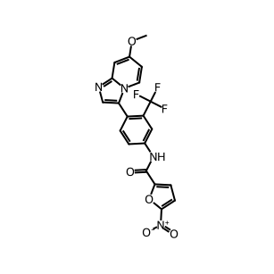 COc1ccn2c(-c3ccc(NC(=O)c4ccc([N+](=O)[O-])o4)cc3C(F)(F)F)cnc2c1